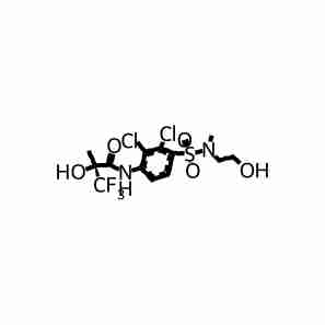 CN(CCO)S(=O)(=O)c1ccc(NC(=O)[C@@](C)(O)C(F)(F)F)c(Cl)c1Cl